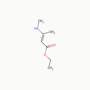 CCOC(=O)/C=C(\C)NC